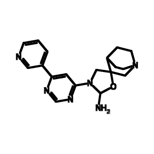 NC1OC2(CN3CCC2CC3)CN1c1cc(-c2cccnc2)ncn1